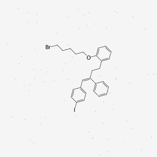 BrCCCCCOc1ccccc1CC/C(=C/c1ccc(I)cc1)c1ccccc1